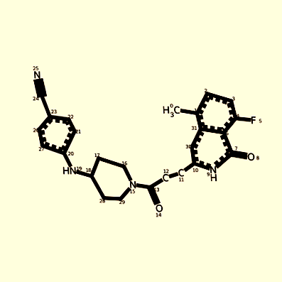 Cc1ccc(F)c2c(=O)[nH]c(CCC(=O)N3CCC(Nc4ccc(C#N)cc4)CC3)cc12